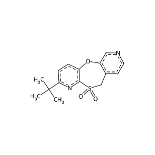 CC(C)(C)c1ccc2c(n1)S(=O)(=O)Cc1ccncc1O2